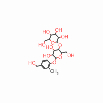 Cc1cc(CO)ccc1OC1OC(CO)C(OC2OC(CO)C(O)C(O)C2O)C(O)C1O